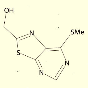 CSc1ncnc2sc(CO)nc12